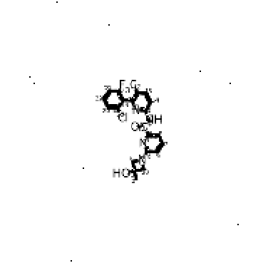 CC1(O)CN(c2cccc([S+]([O-])Nc3ccc(C(F)(F)F)c(-c4ccccc4Cl)n3)n2)C1